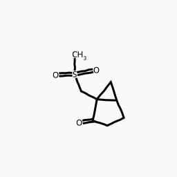 CS(=O)(=O)CC12CC1CCC2=O